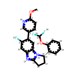 COc1ccc(-c2cc3c(cc2F)nc2n3[C@H](c3ccccc3OC(F)F)CC2)cn1